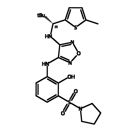 Cc1ccc([C@H](Nc2nonc2Nc2cccc(S(=O)(=O)N3CCCC3)c2O)C(C)(C)C)s1